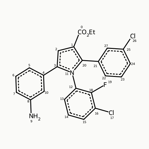 CCOC(=O)c1cc(-c2cccc(N)c2)n(-c2cccc(Cl)c2F)c1-c1cccc(Cl)c1